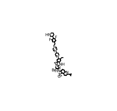 CCc1cc(Nc2ncc(Br)c(Nc3ccc4nc(C5CC5)ccc4c3P(C)(C)=O)n2)c(OC)cc1N1CCC(N2CCN(CCc3cc(F)c(C4CCCNC4)c(F)c3)CC2)CC1